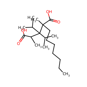 CCCCCCCC(C)(C(=O)O)C(C(C)C)(C(C)C)C(C)C(=O)O